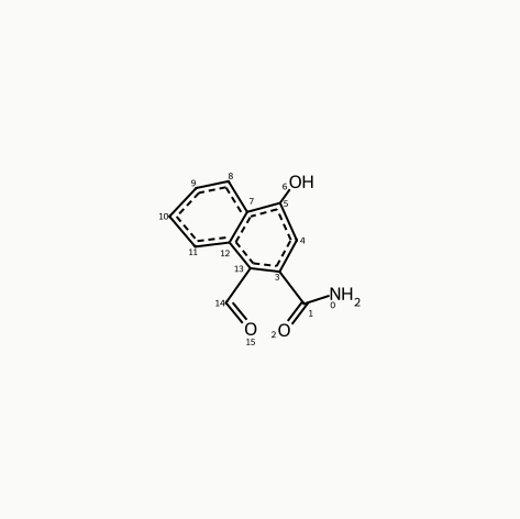 NC(=O)c1cc(O)c2ccccc2c1C=O